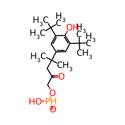 CC(C)(C)c1cc(C(C)(C)CC(=O)CO[PH](=O)O)cc(C(C)(C)C)c1O